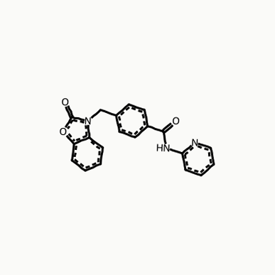 O=C(Nc1ccccn1)c1ccc(Cn2c(=O)oc3ccccc32)cc1